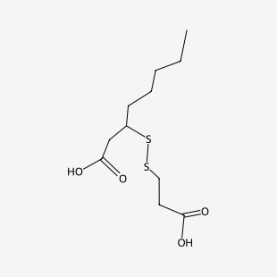 CCCCCC(CC(=O)O)SSCCC(=O)O